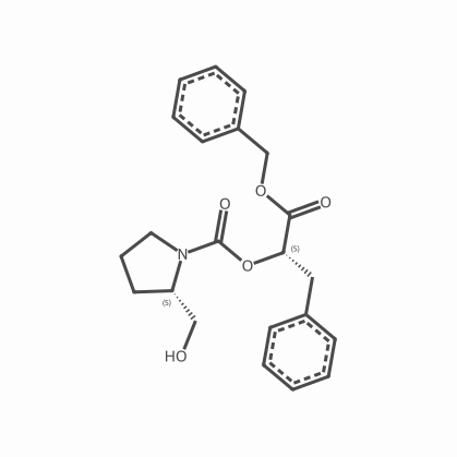 O=C(OCc1ccccc1)[C@H](Cc1ccccc1)OC(=O)N1CCC[C@H]1CO